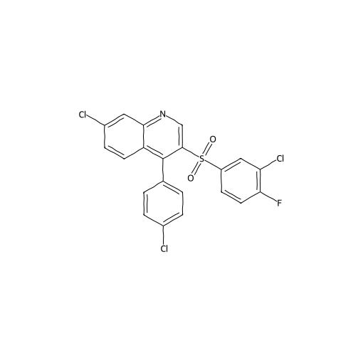 O=S(=O)(c1ccc(F)c(Cl)c1)c1cnc2cc(Cl)ccc2c1-c1ccc(Cl)cc1